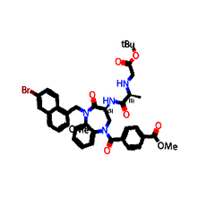 COC(=O)c1ccc(C(=O)N2C[C@H](NC(=O)[C@H](C)NCC(=O)OC(C)(C)C)C(=O)N(Cc3c(OC)ccc4cc(Br)ccc34)c3ccccc32)cc1